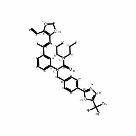 C=CC1=C(/C=C(\C)c2cccc(N(Cc3ccc(-c4nnc(C(F)(F)F)o4)cc3)C(=O)N(CCC)CCC)c2)OCO1